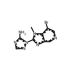 Cn1c(-n2ncnc2N)nc2cncc(Br)c21